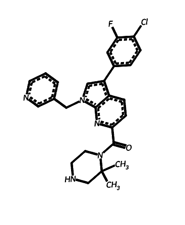 CC1(C)CNCCN1C(=O)c1ccc2c(-c3ccc(Cl)c(F)c3)cn(Cc3cccnc3)c2n1